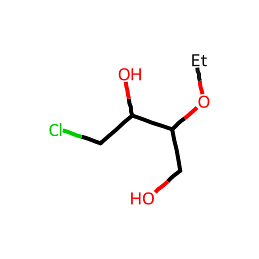 CCOC(CO)C(O)CCl